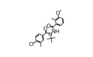 COc1cccc(C(=O)NN(C(=O)c2ccc(Cl)c(C)c2)C(C)(C)C)c1C